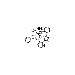 NC(=O)C(=O)C(Cc1ccccc1)NC(=O)c1cccnc1-c1nc(-c2ccccc2Cl)cs1